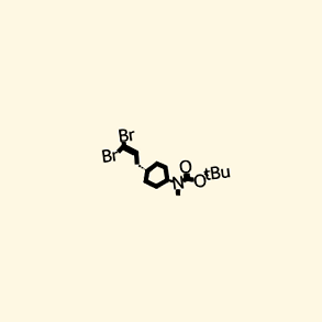 CN(C(=O)OC(C)(C)C)[C@H]1CC[C@H](CC=C(Br)Br)CC1